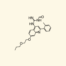 CCCOCCOc1ccc2c(NC(=N)NC=O)cc(-c3ccccc3C)nc2c1